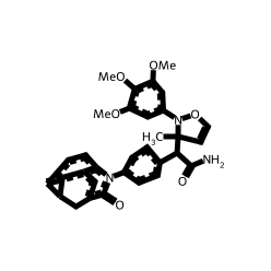 COc1cc(N2OC=CC2(C)C(C(N)=O)c2ccc(-n3c(=O)c4cc5c6c(ccc53)C6C4)cc2)cc(OC)c1OC